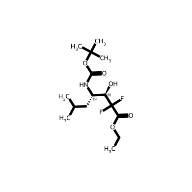 CCOC(=O)C(F)(F)[C@H](O)[C@H](CC(C)C)NC(=O)OC(C)(C)C